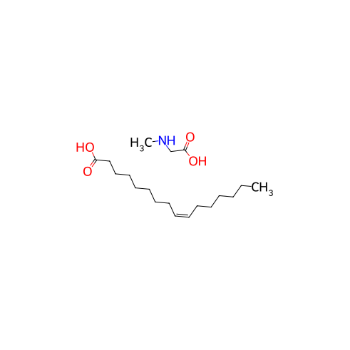 CCCCCC/C=C\CCCCCCCC(=O)O.CNCC(=O)O